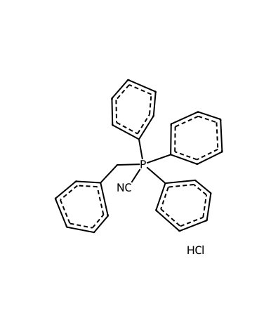 Cl.N#CP(Cc1ccccc1)(c1ccccc1)(c1ccccc1)c1ccccc1